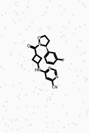 N#Cc1cc(NC2CC(C(=O)N3OCC[C@H]3c3cccc(F)c3)C2)ncn1